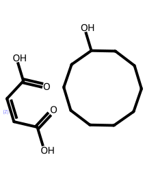 O=C(O)/C=C\C(=O)O.OC1CCCCCCCCC1